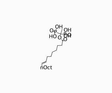 CCCCCCCCC=CCCCCCCC(=O)OC(C)(P(=O)(O)O)P(=O)(O)O